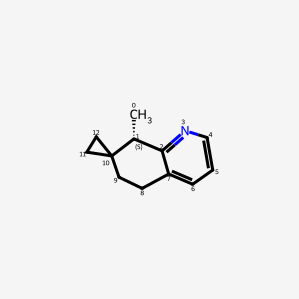 C[C@@H]1c2ncccc2CCC12CC2